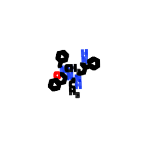 CC(NCCc1c[nH]c2ccccc12)NC(Cc1ccccc1)C(=O)N(C)Cc1ccccc1